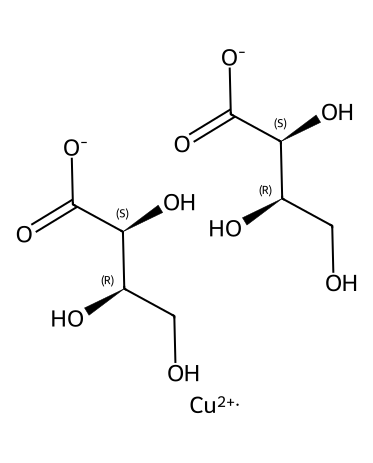 O=C([O-])[C@@H](O)[C@H](O)CO.O=C([O-])[C@@H](O)[C@H](O)CO.[Cu+2]